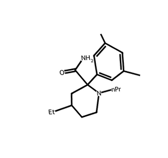 CCCN1CCC(CC)CC1(C(N)=O)c1cc(C)cc(C)c1